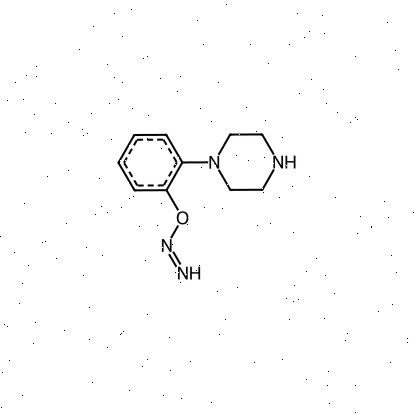 N=NOc1ccccc1N1CCNCC1